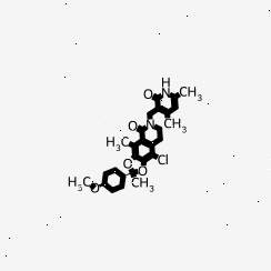 CO[C@H]1CC[C@H](C2(C)Oc3c(C)c4c(c(Cl)c3O2)CCN(Cc2c(C)cc(C)[nH]c2=O)C4=O)CC1